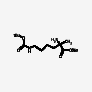 COC(=O)C(C)(N)CCCCNC(=O)OC(C)(C)C